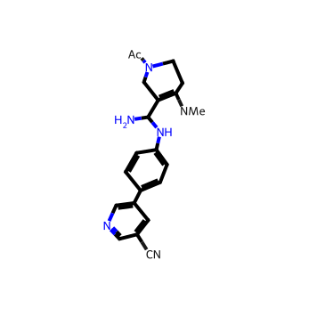 CNC1=C(C(N)Nc2ccc(-c3cncc(C#N)c3)cc2)CN(C(C)=O)CC1